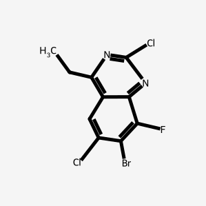 CCc1nc(Cl)nc2c(F)c(Br)c(Cl)cc12